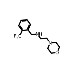 FC(F)(F)c1ccccc1CNCCN1CCOCC1